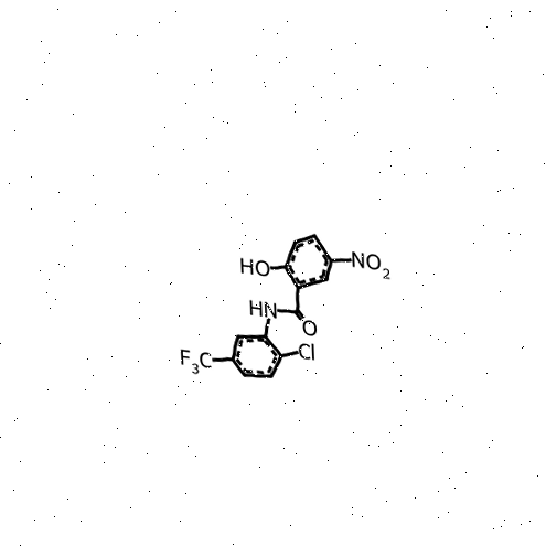 O=C(Nc1cc(C(F)(F)F)ccc1Cl)c1cc([N+](=O)[O-])ccc1O